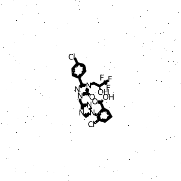 O=C(O)c1cccc(Cl)c1-n1cnc(Cn2nc(-c3ccc(Cl)cc3)n(C[C@H](O)C(F)(F)F)c2=O)n1